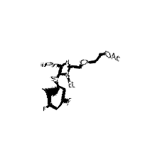 CCn1c(COCCOC(C)=O)nc(C(C)C)c1Sc1cc(F)cc(F)c1